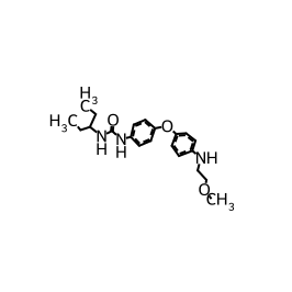 CCC(CC)NC(=O)Nc1ccc(Oc2ccc(NCCOC)cc2)cc1